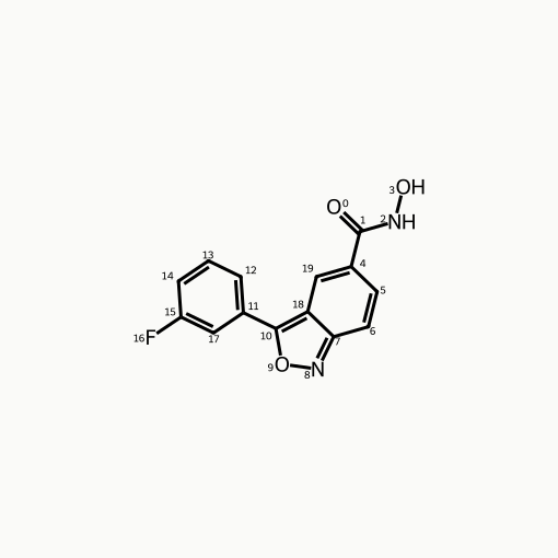 O=C(NO)c1ccc2noc(-c3cccc(F)c3)c2c1